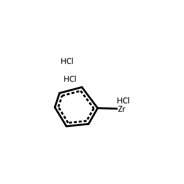 Cl.Cl.Cl.[Zr][c]1ccccc1